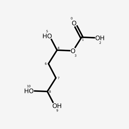 O=C(O)OC(O)CCC(O)O